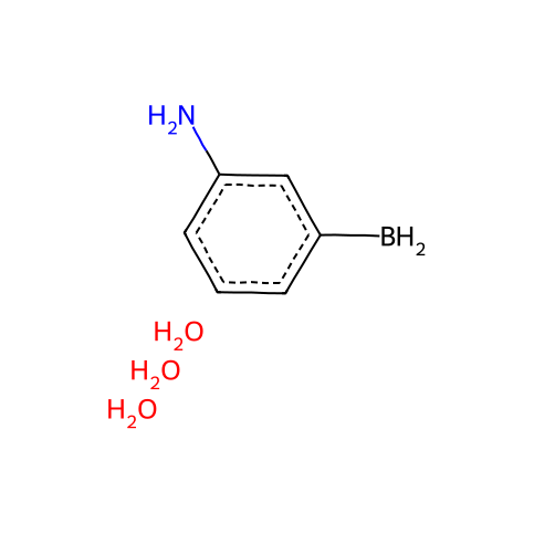 Bc1cccc(N)c1.O.O.O